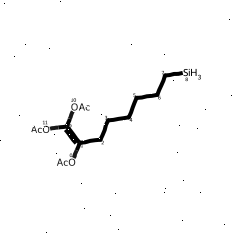 CC(=O)OC(CCCCCC[SiH3])=C(OC(C)=O)OC(C)=O